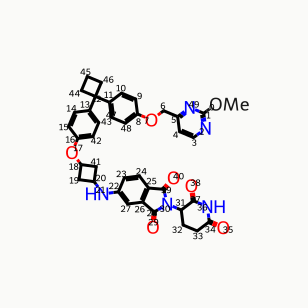 COc1nccc(COc2ccc(C3(c4ccc(OC5CC(Nc6ccc7c(c6)C(=O)N(C6CCC(=O)NC6=O)C7=O)C5)cc4)CCC3)cc2)n1